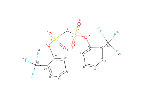 O=S(=O)(CS(=O)(=O)Oc1ccccc1C(F)(F)F)Oc1ccccc1C(F)(F)F